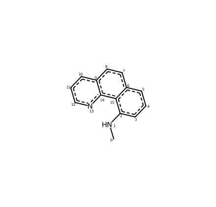 CNc1cccc2ccc3cccnc3c12